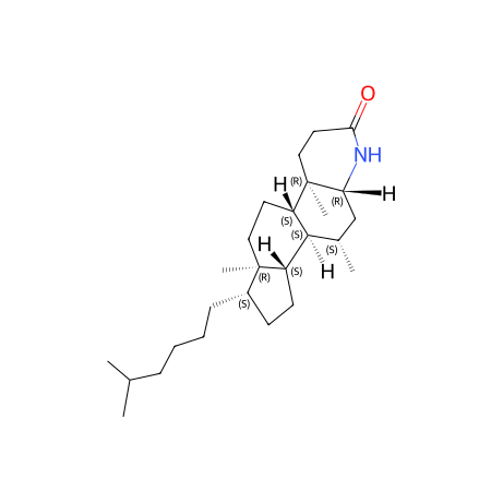 CC(C)CCCC[C@H]1CC[C@H]2[C@@H]3[C@@H](C)C[C@H]4NC(=O)CC[C@]4(C)[C@H]3CC[C@]12C